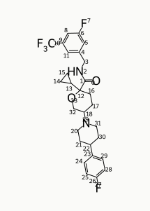 O=C(NCc1cc(F)cc(C(F)(F)F)c1)C1(C2CC2)CCC(N2CCC(c3ccc(F)cc3)CC2)CO1